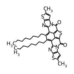 CCCCCCCCc1c(CCCCCCCC)c2c3c(sc4c(=O)n5c6cc(C)sc6nc5c1c43)c(=O)n1c3cc(C)sc3nc21